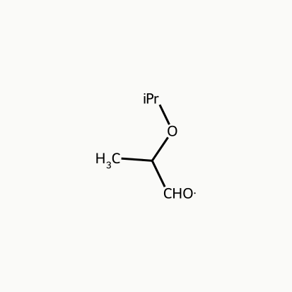 CC(C)OC(C)[C]=O